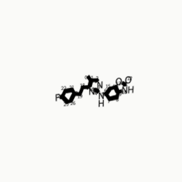 Cc1cnc(Nc2ccc3[nH]c(=O)oc3c2)nc1CCc1ccc(F)cc1